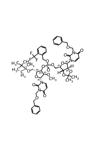 CO[C@@H]1[C@H](OP(=O)(OCc2ccccc2C(F)(F)F)OC[C@H]2O[C@@H](n3ccc(=O)n(COCc4ccccc4)c3=O)[C@@H]3OC(C)(C)O[C@@H]32)[C@@H](CO[Si](C)(C)C(C)(C)C)O[C@H]1n1ccc(=O)n(COCc2ccccc2)c1=O